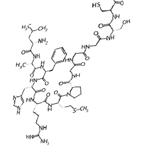 CSCC[C@H](NC(=O)[C@H](CCCNC(=N)N)NC(=O)[C@H](Cc1c[nH]cn1)NC(=O)[C@H](Cc1ccccc1)NC(=O)[C@H](C)NC(=O)[C@@H](N)CC(C)C)C(=O)N1CCC[C@H]1C(=O)NCC(=O)NCC(=O)NCC(=O)N[C@@H](CO)C(=O)N[C@@H](CS)C(=O)O